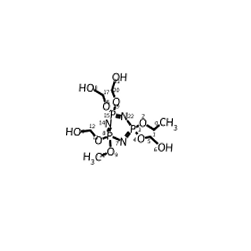 CCOP1(OCO)=NP(OC)(OCO)=NP(OCO)(OCO)=N1